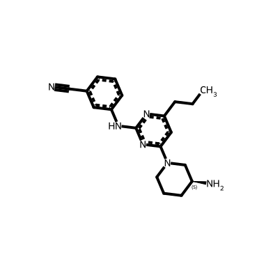 CCCc1cc(N2CCC[C@H](N)C2)nc(Nc2cccc(C#N)c2)n1